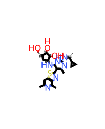 Cc1cc2sc(-c3c(C)nc(N[C@H](C)C4CC4)nc3N[C@@H]3C[C@H](CO)[C@@H](O)[C@H]3O)nc2c(C)n1